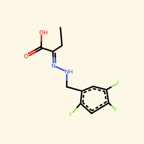 CC/C(=N\NCc1cc(F)c(F)cc1F)C(=O)O